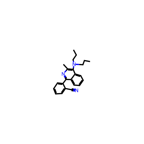 CCCN(CCC)c1c(C)nc(-c2ccccc2C#N)c2ccccc12